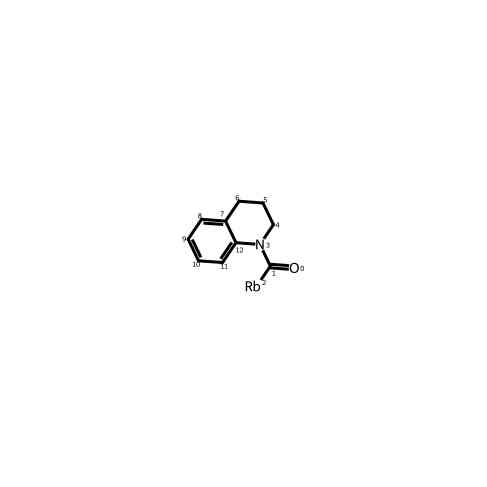 O=[C]([Rb])N1CCCc2ccccc21